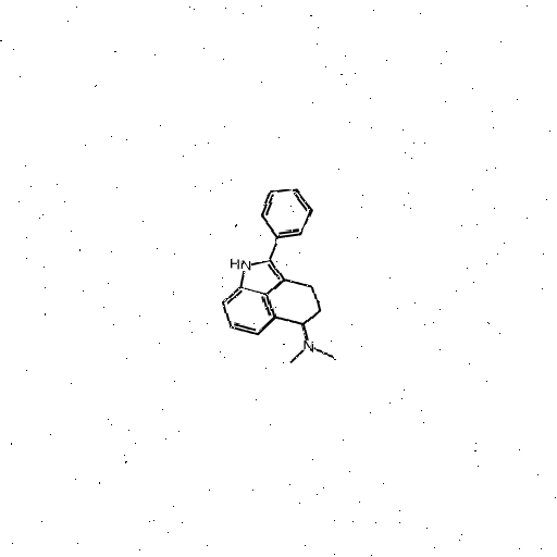 CN(C)C1CCc2c(-c3ccccc3)[nH]c3cccc1c23